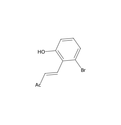 CC(=O)C=Cc1c(O)cccc1Br